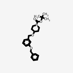 CC(C)(C)OC(=O)N1CCC(OCc2cccc(OCc3ccccc3)c2)CC1